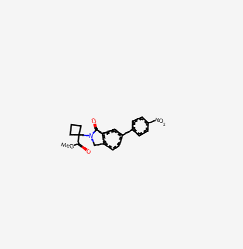 COC(=O)C1(N2Cc3ccc(-c4ccc([N+](=O)[O-])cc4)cc3C2=O)CCC1